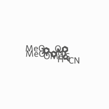 COc1ccc(-c2cccc(C(=O)Nc3ccccc3-c3ccc(CC#N)s3)c2)c(OC)c1OC